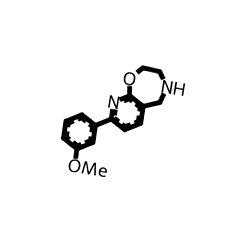 COc1cccc(-c2ccc3c(n2)OCCNC3)c1